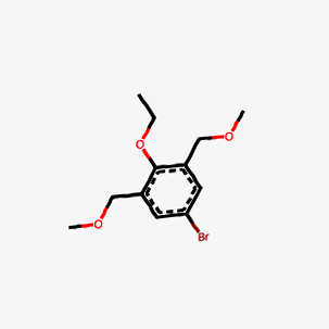 CCOc1c(COC)cc(Br)cc1COC